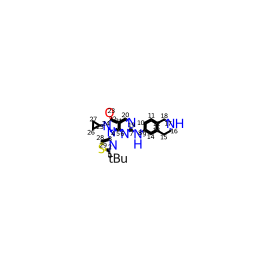 CC(C)(C)c1nc(-n2c3nc(Nc4ccc5c(c4)CCNC5)ncc3c(=O)n2C2CC2)cs1